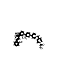 C[C@@H]1c2c([nH]c3nnc(-c4ccccc4O)cc23)CCN1C1CCN(C2CCN(CC3CCN(C(=O)OC(C)(C)C)CC3)CC2)CC1